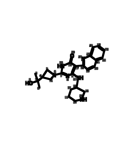 CC(C)(O)C1CN(c2nc(NC3CCCNC3)c(-c3ccc4ccccc4n3)c(=O)[nH]2)C1